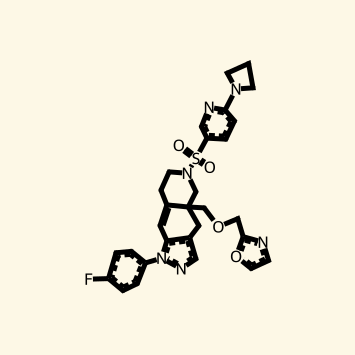 O=S(=O)(c1ccc(N2CCC2)nc1)N1CCC2=Cc3c(cnn3-c3ccc(F)cc3)CC2(COCc2ncco2)C1